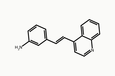 Nc1cccc(/C=C/c2ccnc3ccccc23)c1